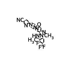 Cc1nc(NC(C)c2cccc(C(F)F)c2F)c2cn(N3CCN(c4ccc(C#N)cn4)CC3)c(=O)cc2n1